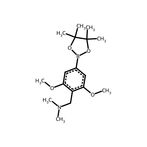 COc1cc(B2OC(C)(C)C(C)(C)O2)cc(OC)c1CN(C)C